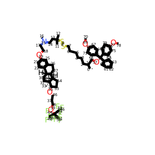 [CH2]C(CCCCCCSSC(C)(C)CCN(C)CCOc1ccc2c(c1)CC[C@@H]1[C@@H]2CC[C@]2(C)[C@@H](OCCCOC(C(F)(F)F)(C(F)(F)F)C(F)(F)F)CC[C@@H]12)COC(c1ccccc1)(c1ccc(OC)cc1)c1ccc(OC)cc1